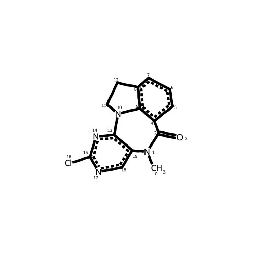 CN1C(=O)c2cccc3c2N(CC3)c2nc(Cl)ncc21